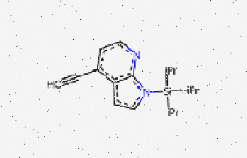 C#Cc1ccnc2c1ccn2[Si](C(C)C)(C(C)C)C(C)C